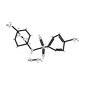 CO.Cc1ccc(S(=O)(=O)OC23CCC(C)(CC2)CC3)cc1